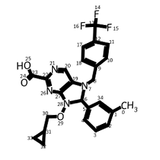 Cc1cccc(C2N(Cc3ccc(C(F)(F)F)cc3)c3cnc(C(=O)O)nc3N2OCC2CC2)c1